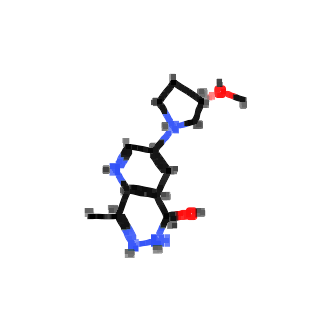 CO[C@H]1CCN(c2cnc3c(C)n[nH]c(=O)c3c2)C1